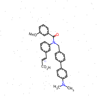 COc1cccc(C(=O)N(Cc2ccc(-c3ccc(N(C)C)cc3)cc2)c2cccc(/C=C/C(=O)O)c2)c1